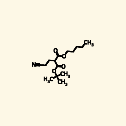 CCCCCOC(=O)C(CCC#N)C(=O)OC(C)(C)C